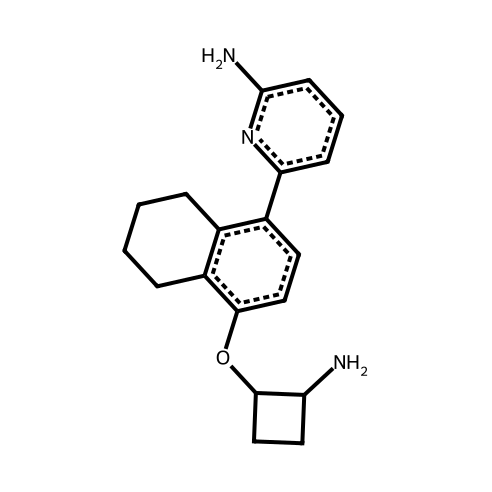 Nc1cccc(-c2ccc(OC3CCC3N)c3c2CCCC3)n1